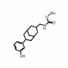 CC(C)(C)OC(=O)NCC1CC2CC(C1)CC(c1cccc(O)c1)C2